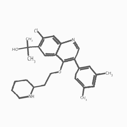 Cc1cc(C)cc(-c2cnc3cc(Cl)c(C(C)(C)O)cc3c2OCCC2CCCCN2)c1